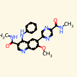 CNC(=O)c1cnc(-c2cc3c(Nc4ccccc4)c(C(=O)NC)cnc3cc2OC)cn1